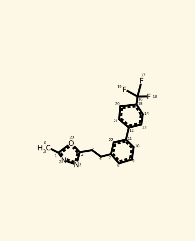 Cc1nnc(C[CH]c2cccc(-c3ccc(C(F)(F)F)cc3)c2)o1